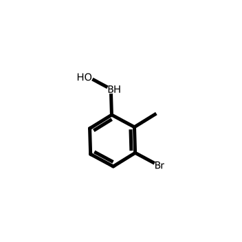 Cc1c(Br)cccc1BO